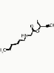 C#CC(I)OC(=O)CNCC=CC=CC